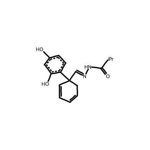 CC(C)C(=O)NN=CC1(c2ccc(O)cc2O)C=CC=CC1